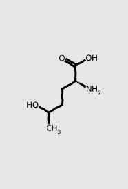 CC(O)CC[C@H](N)C(=O)O